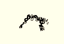 CN(C)CCCOc1ccc2ccc(OC(=O)N3CC[C@@H](NC(=O)c4cc(-c5cnn(C)c5)cnc4N)C3)cc2c1